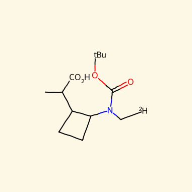 [2H]CN(C(=O)OC(C)(C)C)C1CCC1C(C)C(=O)O